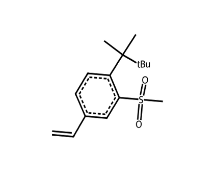 C=Cc1ccc(C(C)(C)C(C)(C)C)c(S(C)(=O)=O)c1